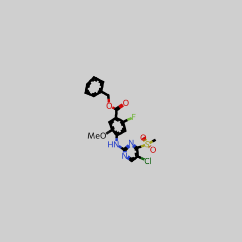 COc1cc(C(=O)OCc2ccccc2)c(F)cc1Nc1ncc(Cl)c(S(C)(=O)=O)n1